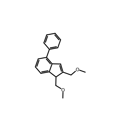 COCC1=Cc2c(-c3ccccc3)cccc2C1COC